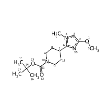 COc1cn(C)c(C2CCN(C(=O)OC(C)(C)C)CC2)n1